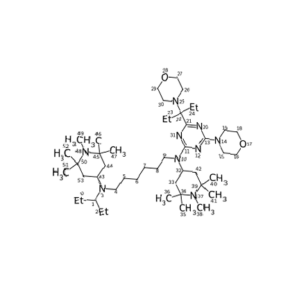 CCC(CC)N(CCCCCCN(c1nc(N2CCOCC2)nc(C(CC)(CC)N2CCOCC2)n1)C1CC(C)(C)N(C)C(C)(C)C1)C1CC(C)(C)N(C)C(C)(C)C1